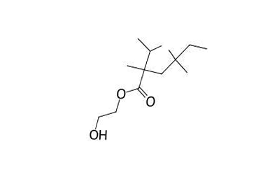 CCC(C)(C)CC(C)(C(=O)OCCO)C(C)C